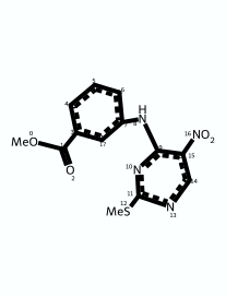 COC(=O)c1cccc(Nc2nc(SC)ncc2[N+](=O)[O-])c1